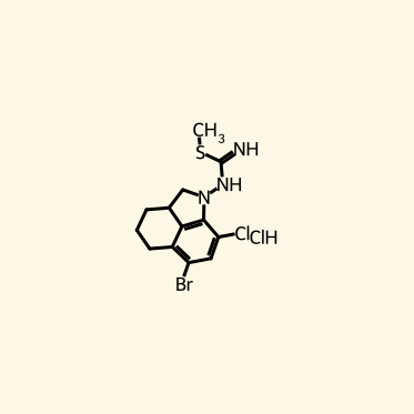 CSC(=N)NN1CC2CCCc3c(Br)cc(Cl)c1c32.Cl